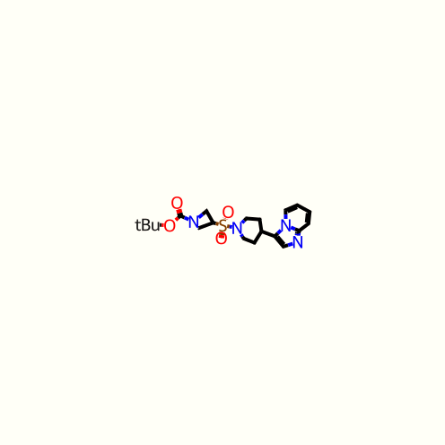 CC(C)(C)OC(=O)N1CC(S(=O)(=O)N2CCC(c3cnc4ccccn34)CC2)C1